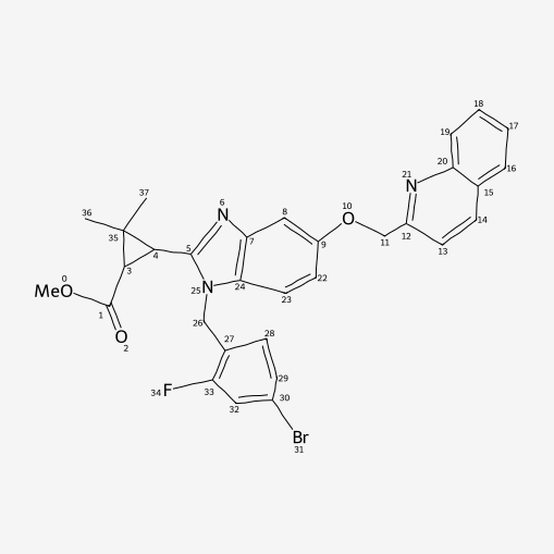 COC(=O)C1C(c2nc3cc(OCc4ccc5ccccc5n4)ccc3n2Cc2ccc(Br)cc2F)C1(C)C